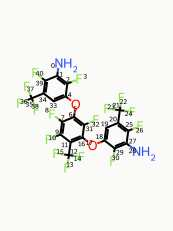 Nc1c(F)c(Oc2c(F)c(F)c(C(F)(F)F)c(Oc3cc(C(F)(F)F)c(F)c(N)c3F)c2F)cc(C(F)(F)F)c1F